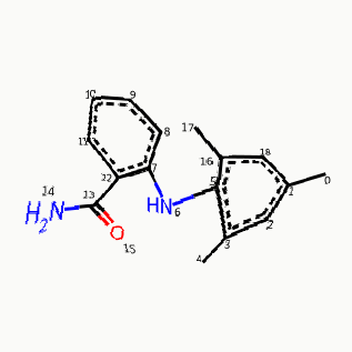 Cc1cc(C)c(Nc2ccccc2C(N)=O)c(C)c1